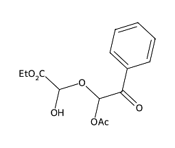 CCOC(=O)C(O)OC(OC(C)=O)C(=O)c1ccccc1